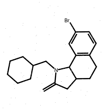 C=C1CC2CCc3ccc(Br)cc3C2N1CC1CCCCC1